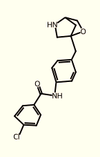 O=C(Nc1ccc(CC23CNC(CO2)C3)cc1)c1ccc(Cl)cc1